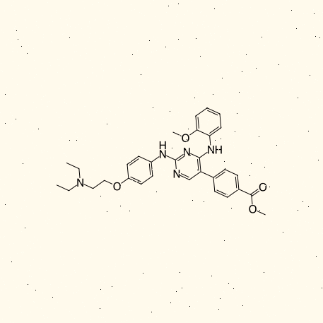 CCN(CC)CCOc1ccc(Nc2ncc(-c3ccc(C(=O)OC)cc3)c(Nc3ccccc3OC)n2)cc1